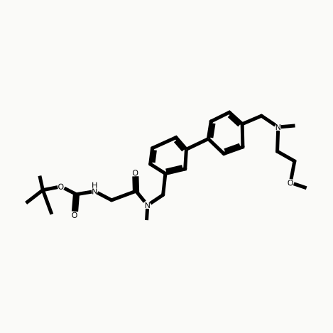 COCCN(C)Cc1ccc(-c2cccc(CN(C)C(=O)CNC(=O)OC(C)(C)C)c2)cc1